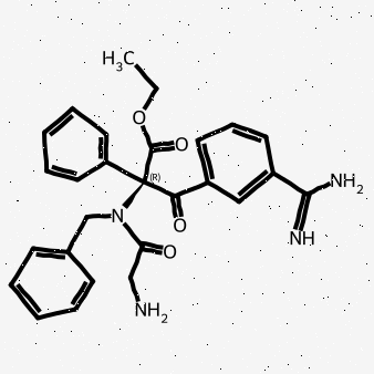 CCOC(=O)[C@](C(=O)c1cccc(C(=N)N)c1)(c1ccccc1)N(Cc1ccccc1)C(=O)CN